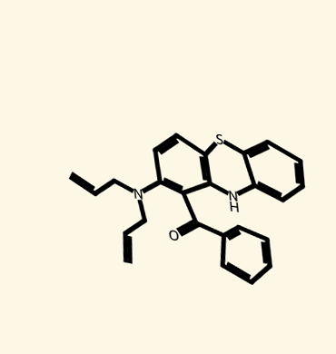 C=CCN(CC=C)c1ccc2c(c1C(=O)c1ccccc1)Nc1ccccc1S2